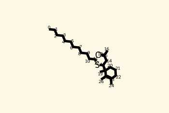 CCCCCCCCCCCCSC(CC(C)=O)C1(C)CCCC(C)=C1C